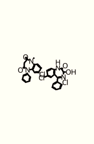 CN1C(=O)CC(=O)N(c2ccccc2)c2cc(Cl)ccc21.O=C1Nc2ccc(Cl)cc2C(c2ccccc2Cl)=NC1O